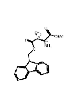 COC(=O)[C@@H](N)[C@@H](C)C(=O)OCC1c2ccccc2-c2ccccc21